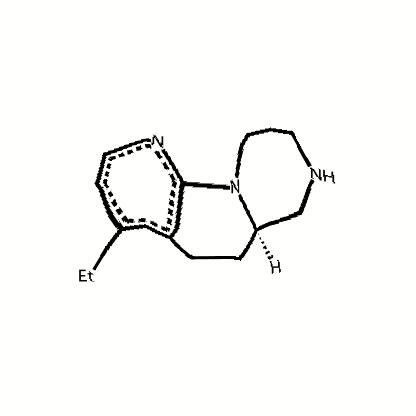 CCc1ccnc2c1CC[C@@H]1CNCCN21